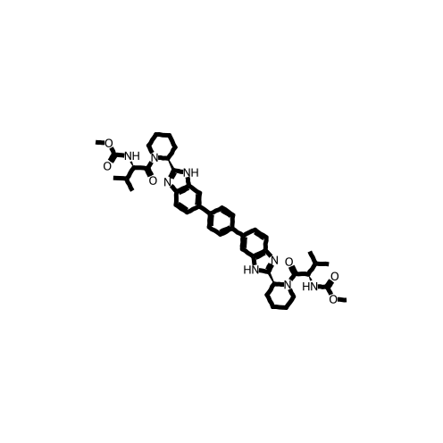 COC(=O)N[C@H](C(=O)N1CCCC[C@H]1c1nc2ccc(-c3ccc(-c4ccc5nc([C@@H]6CCCCN6C(=O)[C@@H](NC(=O)OC)C(C)C)[nH]c5c4)cc3)cc2[nH]1)C(C)C